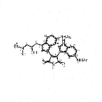 CCN(CC)CC(O)Cn1cc(C2=C(c3c[nH]c4ccc(NC(C)=O)cc34)C(=O)NC2=O)c2cc(NC(C)=O)ccc21